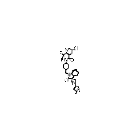 O=C(NC1CCC(CN2C(=O)C3(CN(c4cnsc4)C3)c3ccccc32)CC1)c1cc(Cl)cnc1C(F)F